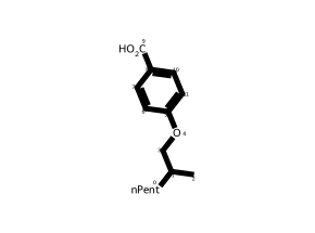 CCCCCC(C)COc1ccc(C(=O)O)cc1